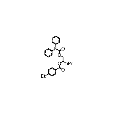 CCCC(COC(=O)N(c1ccccc1)c1ccccc1)OC(=O)c1ccc(CC)cc1